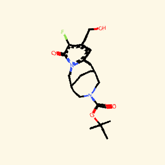 CC(C)(C)OC(=O)N1CC2CC(C1)c1cc(CO)c(F)c(=O)n1C2